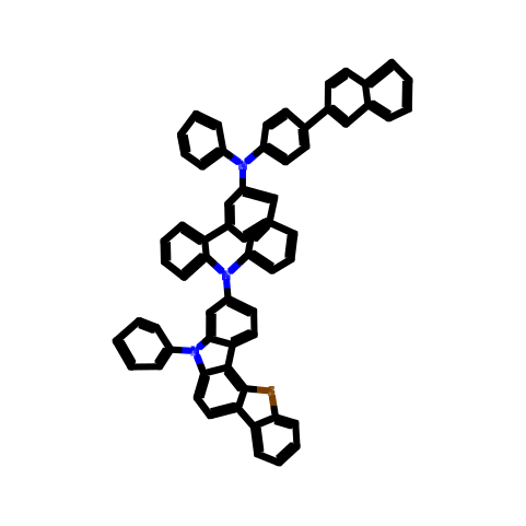 c1ccc(N(c2ccc(-c3ccc4ccccc4c3)cc2)c2cccc(-c3ccccc3N(c3ccccc3)c3ccc4c5c6sc7ccccc7c6ccc5n(-c5ccccc5)c4c3)c2)cc1